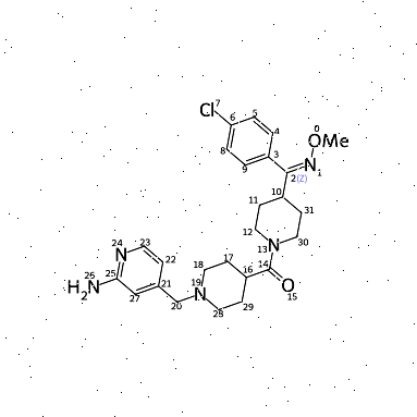 CO/N=C(\c1ccc(Cl)cc1)C1CCN(C(=O)C2CCN(Cc3ccnc(N)c3)CC2)CC1